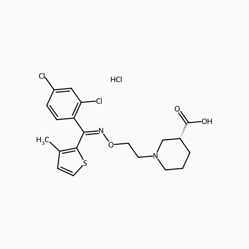 Cc1ccsc1C(=NOCCN1CCC[C@@H](C(=O)O)C1)c1ccc(Cl)cc1Cl.Cl